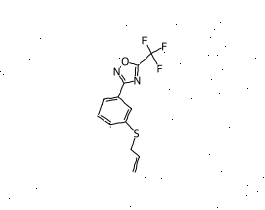 C=CCSc1[c]ccc(-c2noc(C(F)(F)F)n2)c1